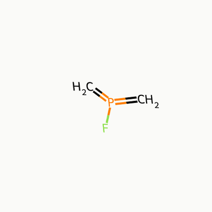 C=P(=C)F